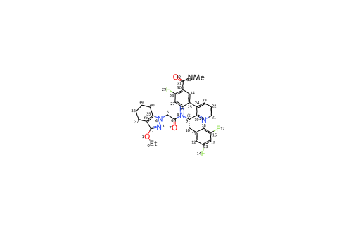 CCOc1nn(CC(=O)N[C@@H](Cc2cc(F)cc(F)c2)c2ncccc2-c2ccc(F)c(C(=O)NC)c2)c2c1CCCC2